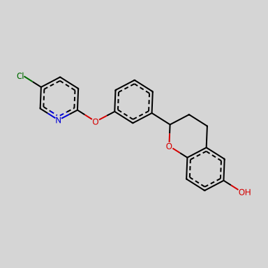 Oc1ccc2c(c1)CCC(c1cccc(Oc3ccc(Cl)cn3)c1)O2